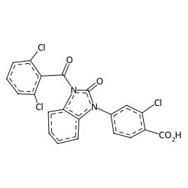 O=C(O)c1ccc(-n2c(=O)n(C(=O)c3c(Cl)cccc3Cl)c3ccccc32)cc1Cl